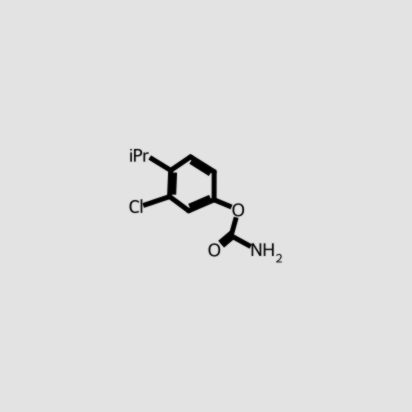 CC(C)c1ccc(OC(N)=O)cc1Cl